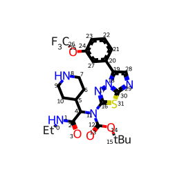 CCNC(=O)C(C1CCNCC1)N(C(=O)OC(C)(C)C)c1nn2c(-c3cccc(OC(F)(F)F)c3)cnc2s1